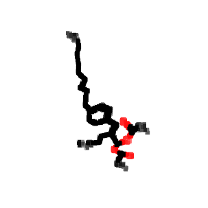 CCCCCCCCCc1ccc(/C=C(\CCC)C(OC(C)=O)OC(C)=O)cc1